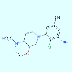 N#Cc1cc(N)c(Cl)c(N2CCC3C(C2)OCCN3C(=O)O)c1